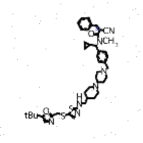 CN(C(=O)/C(C#N)=C\c1ccccc1)C(c1ccc(CN2CCC(N3CCC(CNc4ncc(SCc5ncc(C(C)(C)C)o5)s4)CC3)CC2)cc1)C1CC1